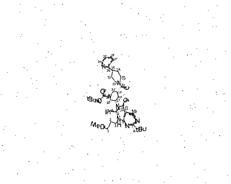 COCCCNc1nc(C(C)(C)C)ncc1C(=O)N(CC(C)C)[C@H]1C[C@@H](C(=O)N2CCC(c3ccccn3)CC2)CN(C(=O)OC(C)(C)C)C1